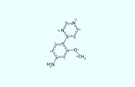 COc1cc(N)ccc1-c1ccncn1